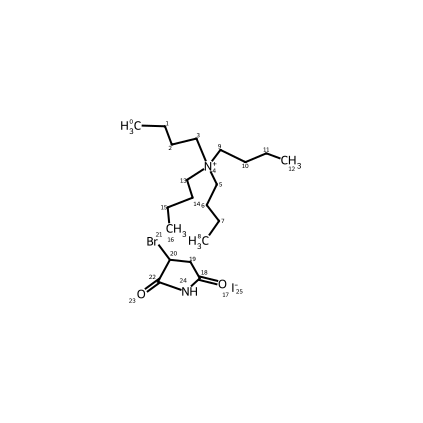 CCCC[N+](CCCC)(CCCC)CCCC.O=C1CC(Br)C(=O)N1.[I-]